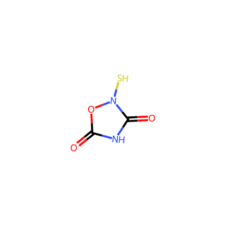 O=c1[nH]c(=O)n(S)o1